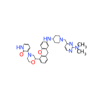 CN(C)c1nccc(CN2CCC(Nc3ccc4c(c3)Cc3cccc(C5CN(c6ccc[nH]c6=O)CCO5)c3O4)CC2)n1